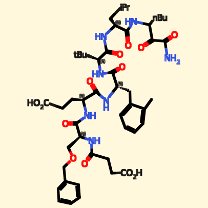 CCCCC(NC(=O)[C@H](CC(C)C)NC(=O)[C@@H](NC(=O)[C@H](Cc1ccccc1C)NC(=O)[C@H](CCC(=O)O)NC(=O)[C@H](COCc1ccccc1)NC(=O)CCC(=O)O)C(C)(C)C)C(=O)C(N)=O